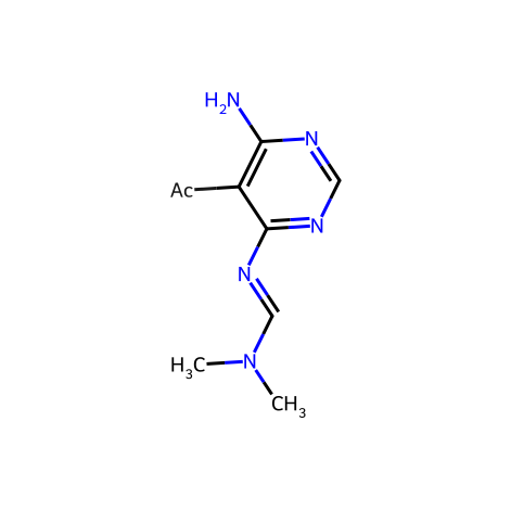 CC(=O)c1c(N)ncnc1/N=C/N(C)C